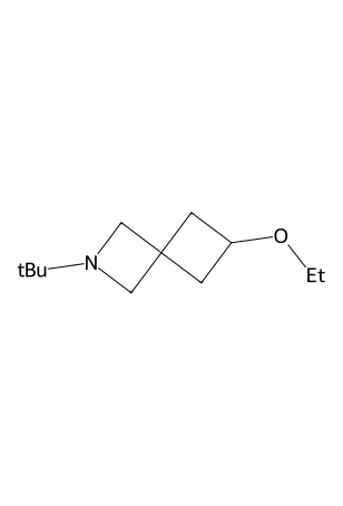 CCOC1CC2(C1)CN(C(C)(C)C)C2